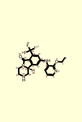 CCOc1ncccc1Nc1cc2c(c(C(F)(F)F)c1)C(=O)N1CCNC[C@@H]21